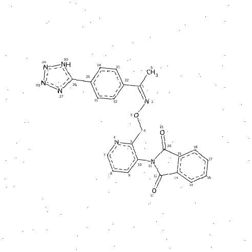 CC(=NOCc1ncccc1N1C(=O)c2ccccc2C1=O)c1ccc(-c2nnn[nH]2)cc1